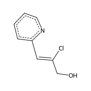 OC/C(Cl)=C/c1ccccn1